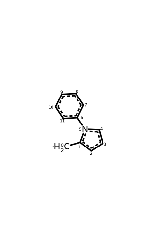 [CH2]c1cccn1-c1ccccc1